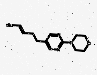 CC(C)(C)/C=C/CCc1cnc(N2CCOCC2)nc1